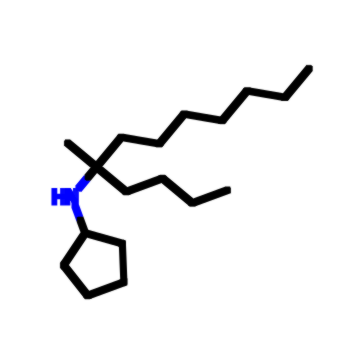 CCCCCCCC(C)(CCCC)NC1CCCC1